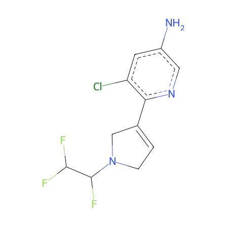 Nc1cnc(C2=CCN(C(F)C(F)F)C2)c(Cl)c1